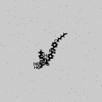 CCCCCCCOc1ccc(-c2cnc(-c3ccc(C[C@H](NC(=O)c4ccc(C(C)(C)C)s4)C(=O)NC[C@@H](CO)C(=O)O)cc3)nc2)cc1